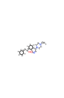 CN1CCN(C(/C=N\O)c2cccc(CCc3ccccc3)c2)CC1